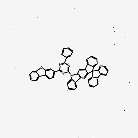 c1ccc(-c2nc(-c3ccc4c(c3)oc3ccccc34)nc(-n3c4ccccc4c4cc5c(cc43)-c3ccccc3C53c4ccccc4-c4ccccc43)n2)cc1